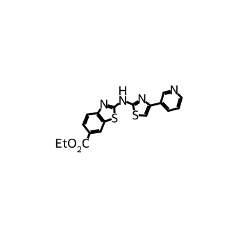 CCOC(=O)c1ccc2nc(Nc3nc(-c4cccnc4)cs3)sc2c1